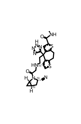 CNC(=O)c1cc2c(s1)CCc1sccc1C2(C[C@H](C)NCC(=O)N1[C@H](C#N)C[C@@H]2C[C@@H]21)c1nn[nH]n1